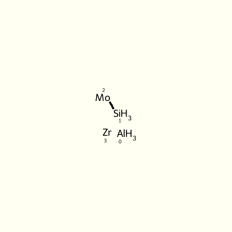 [AlH3].[SiH3][Mo].[Zr]